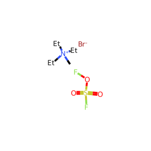 CC[N+](C)(CC)CC.O=S(=O)(F)OF.[Br-]